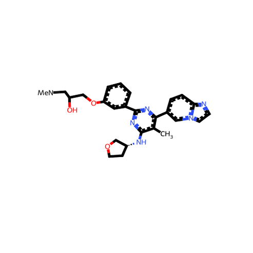 CNCC(O)COc1cccc(-c2nc(N[C@@H]3CCOC3)c(C)c(-c3ccc4nccn4c3)n2)c1